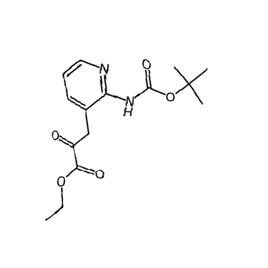 CCOC(=O)C(=O)Cc1cccnc1NC(=O)OC(C)(C)C